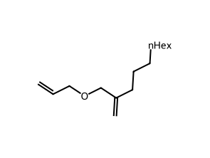 C=CCOCC(=C)CCCCCCCCC